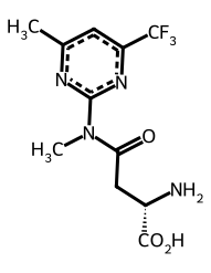 Cc1cc(C(F)(F)F)nc(N(C)C(=O)C[C@H](N)C(=O)O)n1